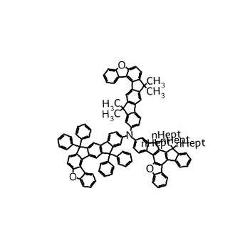 CCCCCCCC1(CCCCCCC)c2cc(N(c3ccc4c(c3)C(C)(C)c3cc5c(cc3-4)C(C)(C)c3ccc4oc6ccccc6c4c3-5)c3ccc4c(c3)C(c3ccccc3)(c3ccccc3)c3cc5c(cc3-4)C(c3ccccc3)(c3ccccc3)c3ccc4oc6ccccc6c4c3-5)ccc2-c2c1c1c(c3c2oc2ccccc23)-c2ccccc2C1(CCCCCCC)CCCCCCC